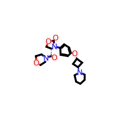 O=C([C@@H]1COC(=O)N1c1ccc(O[C@H]2C[C@H](N3CCCCC3)C2)cc1)N1CCOCC1